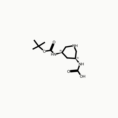 CC(C)(C)OC(=O)N[C@H]1CNC[C@@H](NC(=O)O)C1